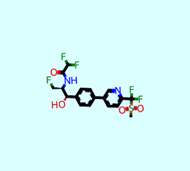 CS(=O)(=O)C(F)(F)c1ccc(-c2ccc([C@@H](O)[C@@H](CF)NC(=O)C(F)F)cc2)cn1